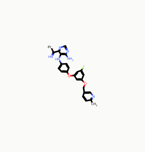 Cc1ccc(COc2cc(F)cc(Oc3ccc(Nc4c(N)ncnc4C(=N)C(C)C)cc3)c2)cn1